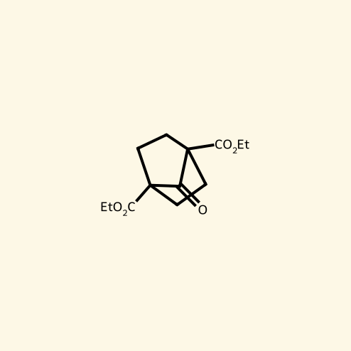 CCOC(=O)C12CCC(C(=O)OCC)(CC1)C2=O